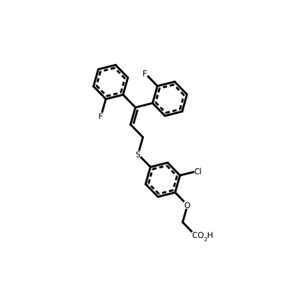 O=C(O)COc1ccc(SCC=C(c2ccccc2F)c2ccccc2F)cc1Cl